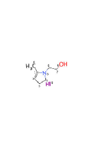 CC1=CCCN1CCO.I